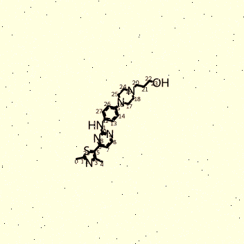 Cc1nc(C)c(-c2ccnc(Nc3ccc(N4CCN(CCCO)CC4)cc3)n2)s1